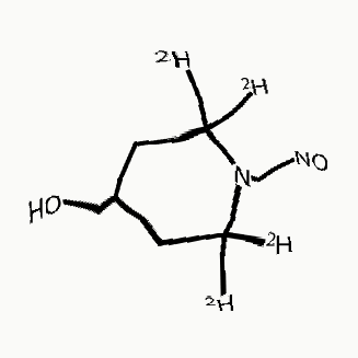 [2H]C1([2H])CC(O)CC([2H])([2H])N1N=O